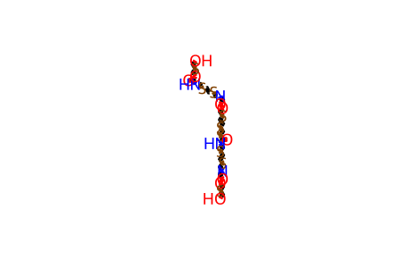 O=C(NCSCCSC/N=C\OOCSCCSCSC(=O)NCSCCSC/N=C/OOCSCO)OCSCO